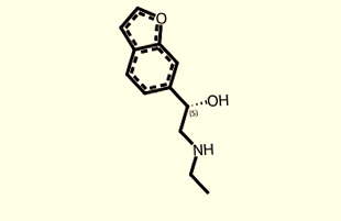 CCNC[C@@H](O)c1ccc2ccoc2c1